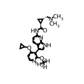 [2H]C([2H])([2H])Oc1nccc(OC2CC2)c1-c1c[nH]c2nc(NC(=O)[C@H]3C[C@@H]3CN(C)C)ccc12